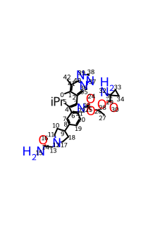 Cc1c(-c2c(C(C)C)c3cc(C4CCN(CC(N)=O)CC4)ccc3n2C(=O)OC(C)OC(=O)C2(N)CC2)cn2ncnc2c1C